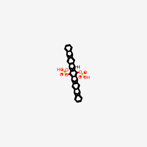 O=S(=O)(O)Oc1c2c(c(OS(=O)(=O)O)c3c1C1C[C@H]3c3cc4c(cc31)C1CC4c3ccccc31)C1CC2c2cc3c(cc21)C1CC3c2ccccc21